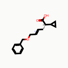 O=C(O)[C@@H](C/C=C/COCc1ccccc1)C1CC1